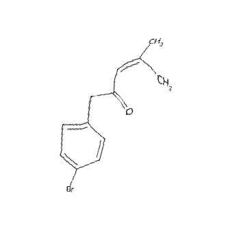 CC(C)=CC(=O)Cc1ccc(Br)cc1